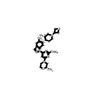 COc1nc(N2CCO[C@@H](C)C2)cc(-n2ncc3cc(C)c([C@H]4CCN(C5COC5)C[C@H]4F)cc32)n1